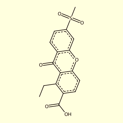 CCc1c(C(=O)O)ccc2oc3cc(S(C)(=O)=O)ccc3c(=O)c12